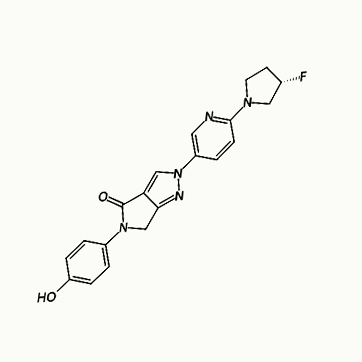 O=C1c2cn(-c3ccc(N4CC[C@H](F)C4)nc3)nc2CN1c1ccc(O)cc1